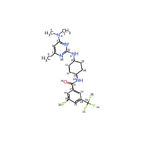 Cc1cc(N(C)C)nc(NC2CCC(NC(=O)c3cc(F)cc(C(F)(F)F)c3)CC2)n1